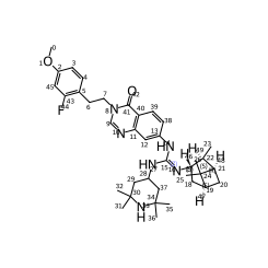 COc1ccc(CCn2cnc3cc(N/C(=N\[C@H]4C[C@@H]5C[C@H]([C@@H]4C)C5(C)C)NC4CC(C)(C)NC(C)(C)C4)ccc3c2=O)c(F)c1